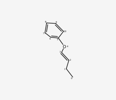 CC/C=C/Oc1c[c]ccc1